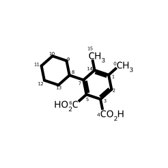 Cc1cc(C(=O)O)c(C(=O)O)c(C2CCCCC2)c1C